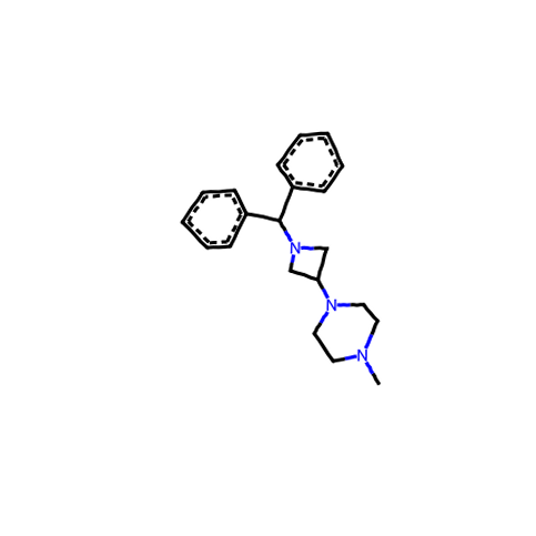 CN1CCN(C2CN(C(c3ccccc3)c3ccccc3)C2)CC1